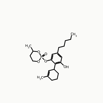 CCCCCc1cc(O)c(C2C=C(C)CCC2)c(OP2(=O)OCCC(C)O2)c1